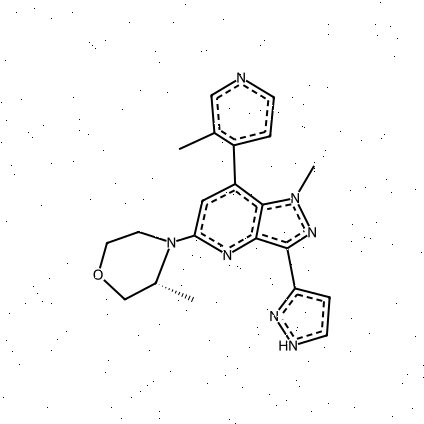 Cc1cnccc1-c1cc(N2CCOC[C@H]2C)nc2c(-c3cc[nH]n3)nn(C)c12